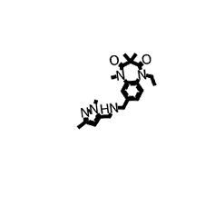 CCN1C(=O)C(C)(C)C(=O)N(C)c2cc(CNCc3cc(C)nn3C)ccc21